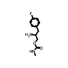 CNC(=O)OCC(N)Cc1ccc(F)cc1